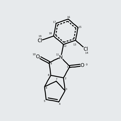 O=C1C2C3C=CC(C3)C2C(=O)N1c1c(Cl)cccc1Cl